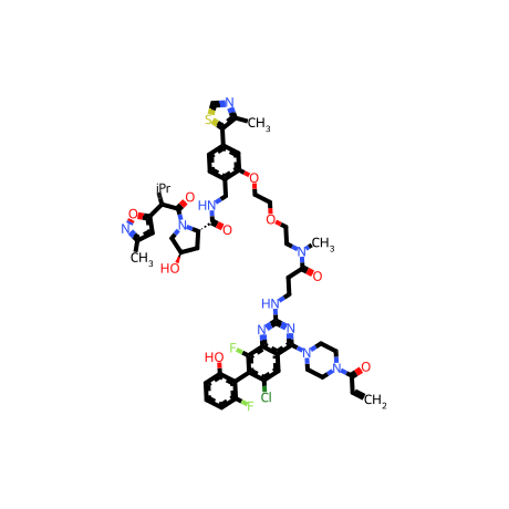 C=CC(=O)N1CCN(c2nc(NCCC(=O)N(C)CCOCCOc3cc(-c4scnc4C)ccc3CNC(=O)[C@@H]3C[C@@H](O)CN3C(=O)C(c3cc(C)no3)C(C)C)nc3c(F)c(-c4c(O)cccc4F)c(Cl)cc23)CC1